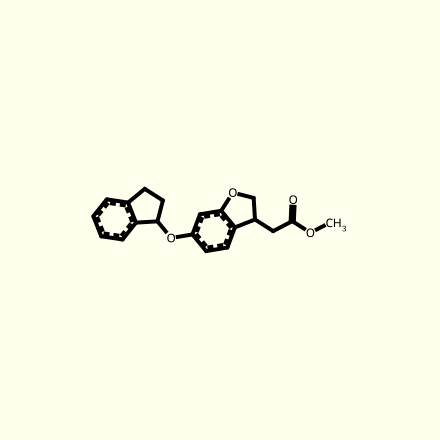 COC(=O)CC1COc2cc(OC3CCc4ccccc43)ccc21